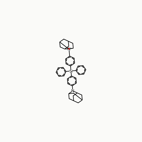 c1ccc([Si](c2ccccc2)(c2ccc(N3C4CC5CC(C4)CC3C5)cc2)c2ccc(N3C4CC5CC(C4)CC3C5)cc2)cc1